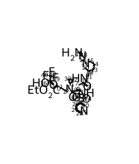 CCOC(=O)CCN(C(=O)[C@H](CC(=O)NC[C@@H]1CCCN(C=NN)C1)NS(=O)(=O)c1cccnc1)C1CC1.O=C(O)C(F)(F)F